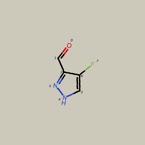 O=Cc1n[nH]cc1F